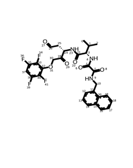 CC(C)[C@H](NC(=O)C(=O)NCc1cccc2ccccc12)C(=O)N[C@@H](CC=O)C(=O)COc1c(F)c(F)cc(F)c1F